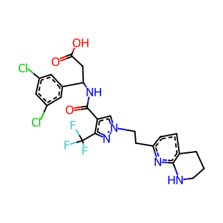 O=C(O)CC(NC(=O)c1cn(CCc2ccc3c(n2)NCCC3)nc1C(F)(F)F)c1cc(Cl)cc(Cl)c1